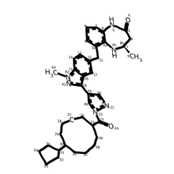 C[C@@H]1CC(=O)Nc2cccc(Cc3ccc4c(c3)c(-c3cnn(C(=O)C5CCCCC(C6CCCC6)CCCC5)c3)nn4C)c2N1